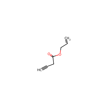 C#CCC(=O)OCC=C